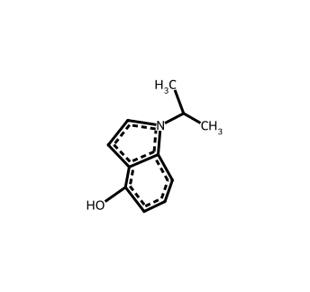 CC(C)n1ccc2c(O)cccc21